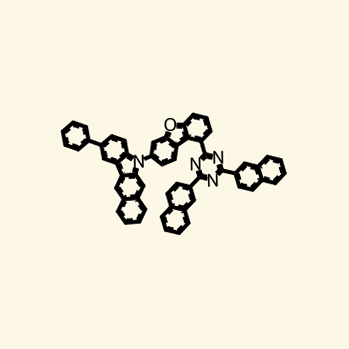 c1ccc(-c2ccc3c(c2)c2cc4ccccc4cc2n3-c2ccc3c(c2)oc2cccc(-c4nc(-c5ccc6ccccc6c5)nc(-c5ccc6ccccc6c5)n4)c23)cc1